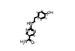 NC(=O)c1cnc(NCCc2ccc(O)cc2)nc1